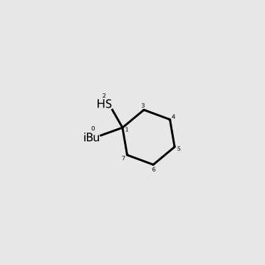 CCC(C)C1(S)CCCCC1